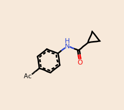 CC(=O)c1ccc(NC(=O)C2CC2)cc1